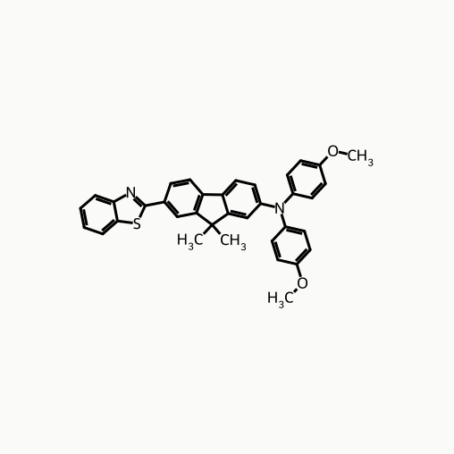 COc1ccc(N(c2ccc(OC)cc2)c2ccc3c(c2)C(C)(C)c2cc(-c4nc5ccccc5s4)ccc2-3)cc1